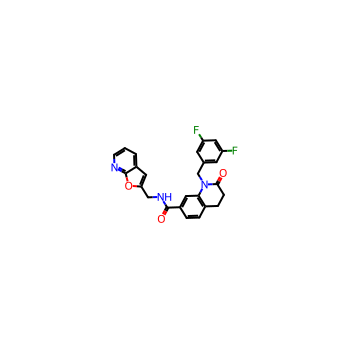 O=C(NCc1cc2cccnc2o1)c1ccc2c(c1)N(Cc1cc(F)cc(F)c1)C(=O)CC2